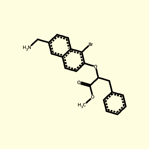 COC(=O)C(Cc1ccccc1)Oc1ccc2cc(CN)ccc2c1Br